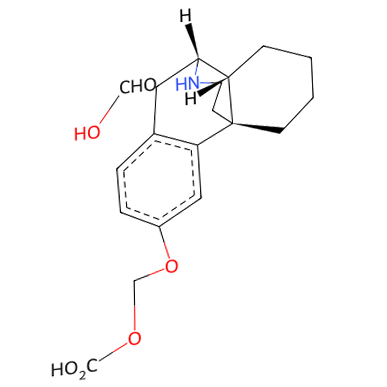 O=C(O)OCOc1ccc2c(c1)[C@@]13CCCC[C@H]1[C@@H](C2)NCC3.O=CO